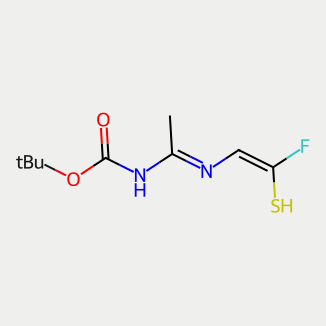 C/C(=N\C=C(\F)S)NC(=O)OC(C)(C)C